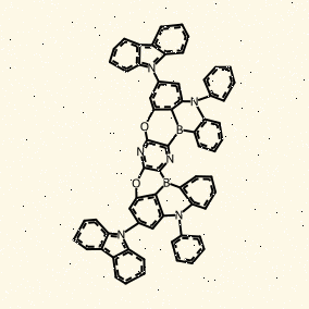 c1ccc(N2c3ccccc3B3c4nc5c(nc4Oc4cc(-n6c7ccccc7c7ccccc76)cc2c43)Oc2cc(-n3c4ccccc4c4ccccc43)cc3c2B5c2ccccc2N3c2ccccc2)cc1